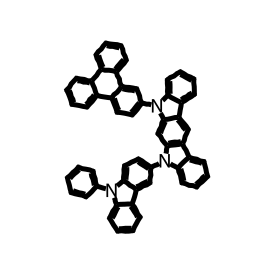 c1ccc(-n2c3ccccc3c3cc(-n4c5ccccc5c5cc6c7ccccc7n(-c7ccc8c9ccccc9c9ccccc9c8c7)c6cc54)ccc32)cc1